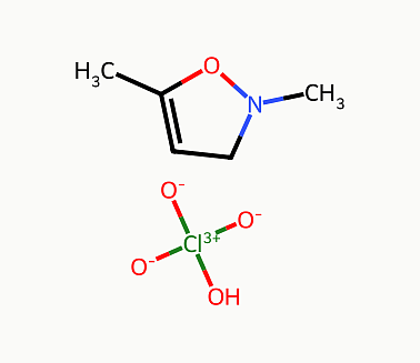 CC1=CCN(C)O1.[O-][Cl+3]([O-])([O-])O